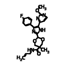 C=CCNC(=O)C1(C)COC(c2nc(-c3ccc(F)cc3)c(-c3ccnc(OC)n3)[nH]2)OC1